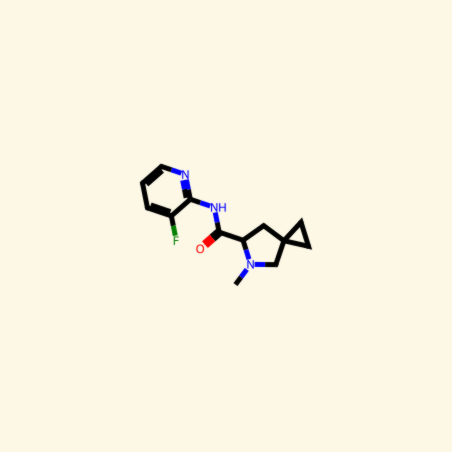 CN1CC2(CC2)CC1C(=O)Nc1ncccc1F